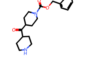 O=C(C1CCNCC1)C1CCN(C(=O)OCc2ccccc2)CC1